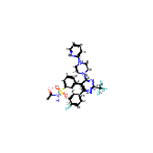 CC(=O)NS(=O)(=O)c1cccc(-c2c(-c3ccc(F)cc3)nc(C(F)(F)F)nc2N2CCN(c3ccccn3)CC2)c1